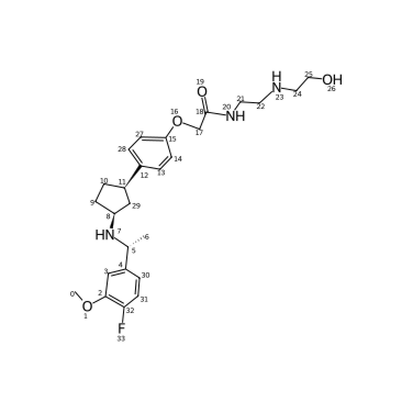 COc1cc([C@@H](C)N[C@H]2CC[C@@H](c3ccc(OCC(=O)NCCNCCO)cc3)C2)ccc1F